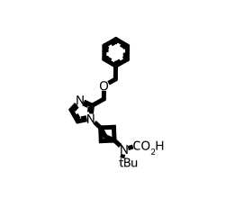 CC(C)(C)N(C(=O)O)C12CC(n3ccnc3COCc3ccccc3)(C1)C2